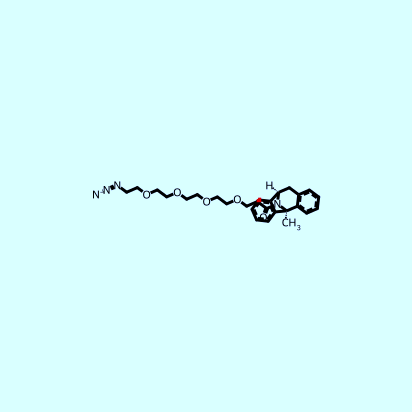 C[C@]12c3ccccc3C[C@H](c3ccccc31)N2C(=O)CCOCCOCCOCCOCCN=[N+]=[N-]